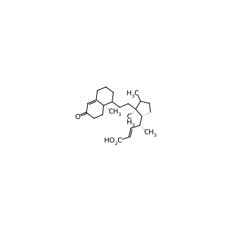 CC1CC[C@H]([C@H](C)/C=C/C(=O)O)[C@@]1(C)CCC1CCCC2=CC(=O)CC[C@@]21C